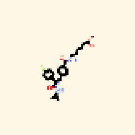 COC(=O)CCCCCNC(=O)c1ccc(/C=C(/C(=O)NC2CC2)c2ccc(F)cc2)cc1